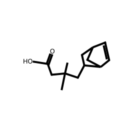 CC(C)(CC(=O)O)CC1CC2C=CC1C2